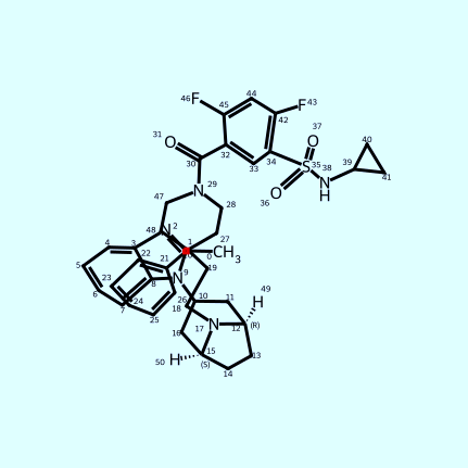 Cc1nc2ccccc2n1C1C[C@H]2CC[C@@H](C1)N2CCC1(c2ccccc2)CCN(C(=O)c2cc(S(=O)(=O)NC3CC3)c(F)cc2F)CC1